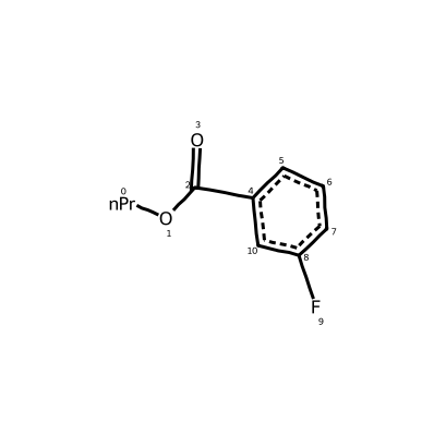 CCCOC(=O)c1cccc(F)c1